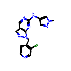 Cn1cc(Nc2ncc3cnn(Cc4ccncc4F)c3n2)cn1